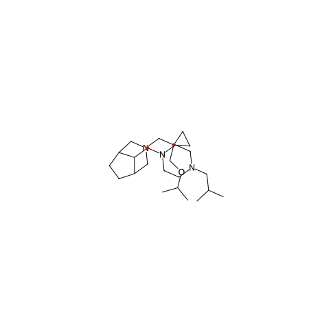 CC(C)CN1CCN(CC2C3CCC2CN(CC2(COC(C)C)CC2)C3)CC1